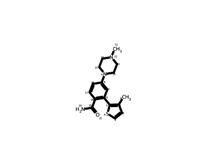 Cc1ccsc1-c1cc(N2CCN(C)CC2)ccc1C(N)=O